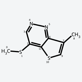 CSc1cnnc2c(C)csc12